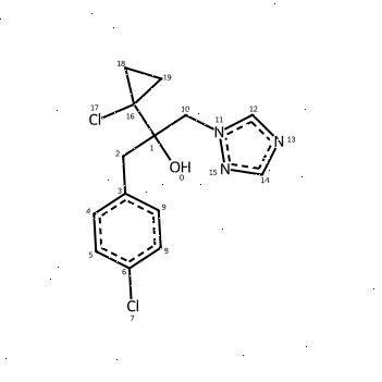 OC(Cc1ccc(Cl)cc1)(Cn1cncn1)C1(Cl)CC1